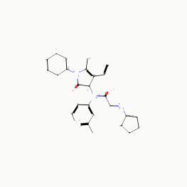 C=CC1=C(C)N(C2CCCCC2)C(=O)C1N(C(=O)CNC1CCCC1)C(/C=C\C)=C/C(=C)C